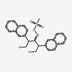 CS(=O)(=O)ON=C(C(CF)c1ccc2ccccc2c1)C(CF)c1ccc2ccccc2c1